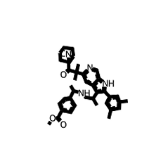 COC(=O)c1ccc(C(C)NCC(C)c2c(-c3cc(C)cc(C)c3)[nH]c3cnc(C(C)(C)C(=O)N4CC5CCC4CC5)cc23)cc1